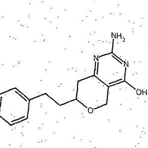 Nc1nc(O)c2c(n1)CC(CCc1ccccc1)OC2